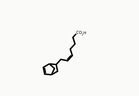 O=C(O)CCC/C=C\CC1CC2C=CC1C2